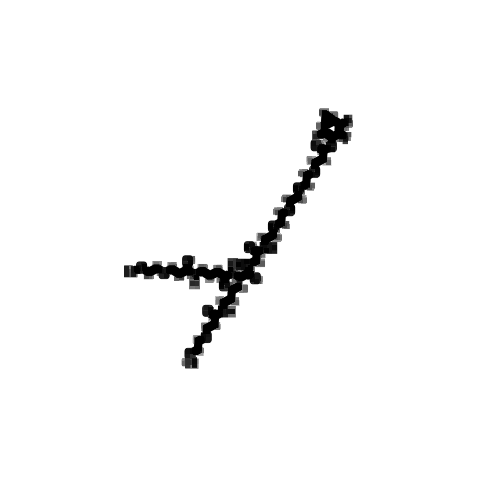 CCOCCOCCC(=O)NCCCC[C@H](NC(=O)CCCNC(=O)CCOCCOCC)C(=O)NCC(=O)NCCOCCOCCOCCOCCC(=O)Oc1c(F)c(F)c2c(c1F)C2